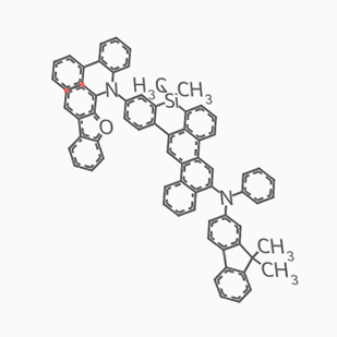 CC1(C)c2ccccc2-c2ccc(N(c3ccccc3)c3cc4c5cccc6c5c(cc4c4ccccc34)-c3ccc(N(c4ccccc4-c4ccccc4)c4cccc5c4oc4ccccc45)cc3[Si]6(C)C)cc21